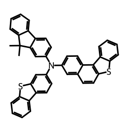 CC1(C)c2ccccc2-c2ccc(N(c3ccc4c(ccc5sc6ccccc6c54)c3)c3ccc4c(c3)sc3ccccc34)cc21